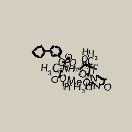 COC1(C)NC(=O)C=CN1[C@@H]1O[C@H](COP(=O)(N[C@@H](C)C(=O)OC(C)C)Oc2cccc(-c3ccccc3)c2)[C@@H](O)[C@@]1(C)F